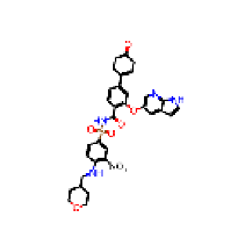 O=C1CC=C(c2ccc(C(=O)NS(=O)(=O)c3ccc(NCC4CCOCC4)c([N+](=O)[O-])c3)c(Oc3cnc4[nH]ccc4c3)c2)CC1